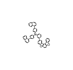 c1cc(-c2ccc3oc4ccc5oc6ccccc6c5c4c3c2)cc(N(c2ccc(-c3cccc4ccccc34)cc2)c2ccc(-c3cccc4ccccc34)cc2)c1